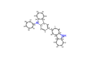 C1=CC2C(C=C1c1ccc3[nH]c4ccccc4c3c1)c1ccccc1N2c1ccccc1